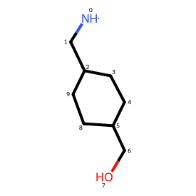 [NH]CC1CCC(CO)CC1